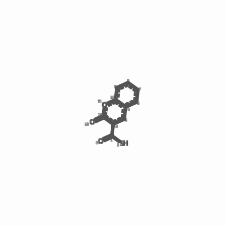 O=C(S)c1cc2ccccc2oc1=O